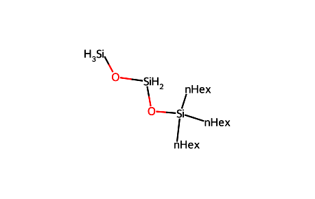 CCCCCC[Si](CCCCCC)(CCCCCC)O[SiH2]O[SiH3]